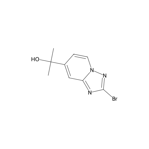 CC(C)(O)c1ccn2nc(Br)nc2c1